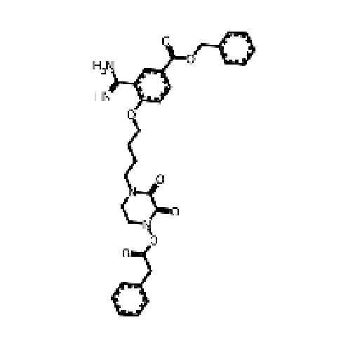 N=C(N)c1cc(C(=O)OCc2ccccc2)ccc1OCCCCN1CCN(OC(=O)Cc2ccccc2)C(=O)C1=O